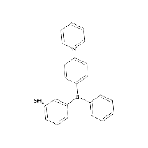 [SiH4].c1ccc(B(c2ccccc2)c2ccccc2)cc1.c1ccncc1